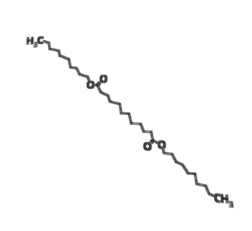 CCCCCCCCCCOC(=O)CCCCCCCCCCC(=O)OCCCCCCCCCC